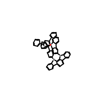 c1ccc(-c2cc(-c3ccccc3)nc(-c3ccc(-n4c5ccccc5c5ccc6c7ccccc7n(-c7ccc8c(c7)c7ccccc7n8-c7ccccc7)c6c54)cc3)n2)cc1